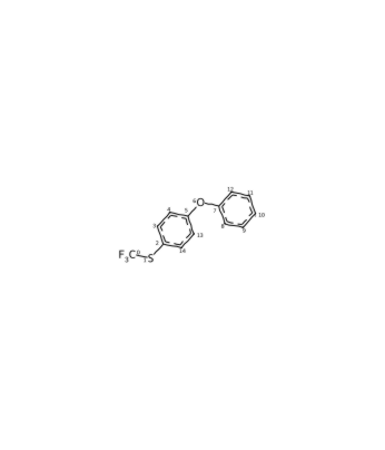 FC(F)(F)Sc1ccc(Oc2cc[c]cc2)cc1